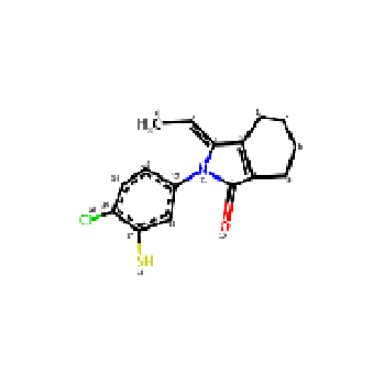 CC=C1C2=C(CCCC2)C(=O)N1c1ccc(Cl)c(S)c1